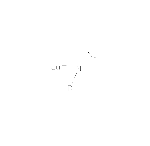 [BH2][Ni].[Cu].[Nb].[Ti]